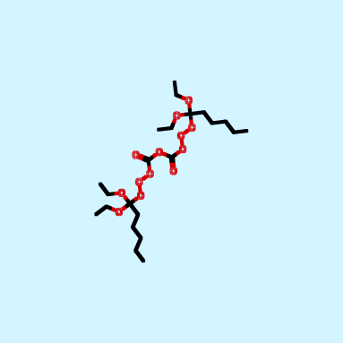 CCCCCC(OCC)(OCC)OOOC(=O)OC(=O)OOOC(CCCCC)(OCC)OCC